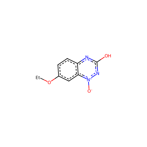 CCOc1ccc2nc(O)n[n+]([O-])c2c1